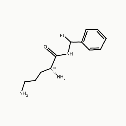 CCC(NC(=O)[C@H](N)CCCN)c1ccccc1